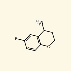 NC1CCOc2ccc(F)cc21